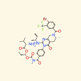 C=C[C@H](C)Nc1nc2c(c(=O)n1-c1ccc(C(=O)N(C)C(=O)O[C@@H](CC)OC(=O)[C@@H](N)C(C)C)cc1)C[C@@H](C)N(C(=O)c1ccc(Br)c(C(F)(F)F)c1)C2